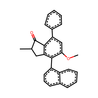 COc1cc(-c2ccccc2)c2c(c1-c1cccc3ccccc13)CC(C)C2=O